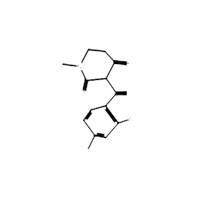 CN1CCC(=O)C(C(=O)c2ccc(Cl)cc2[N+](=O)[O-])C1=O